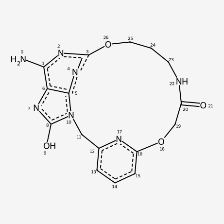 Nc1nc2nc3c1nc(O)n3Cc1cccc(n1)OCC(=O)NCCCO2